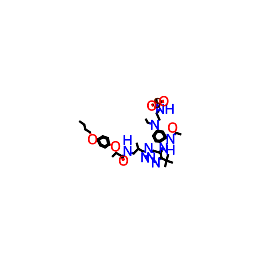 CCCCOc1ccc(OC(C)C(=O)NCC(C)c2nc3n(n2)N=C(C(C)(C)C)/C3=N/c2ccc(N(CC)CCNS(C)(=O)=O)cc2NC(C)=O)cc1